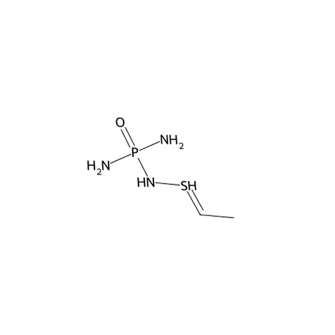 CC=[SH]NP(N)(N)=O